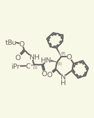 CC(C)C[C@H](NC(=O)OC(C)(C)C)C(=O)N[C@@H]1C(=O)Nc2ccccc2O[C@@H]1c1ccccc1